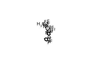 Cn1nc(CC(C(N)=O)n2ncc(Oc3ccccc3C(F)(F)F)cc2=O)cc1C(F)(F)F